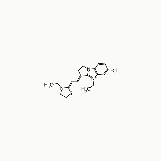 CCN1CCSC1=CC=C1CCn2c1[n+](CC)c1cc(Cl)ccc12